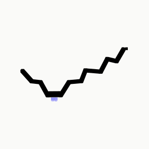 [CH2]CCCCCC/C=C\CCC